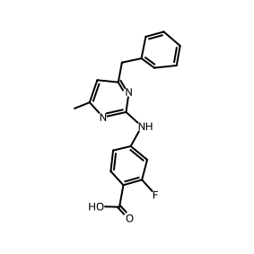 Cc1cc(Cc2ccccc2)nc(Nc2ccc(C(=O)O)c(F)c2)n1